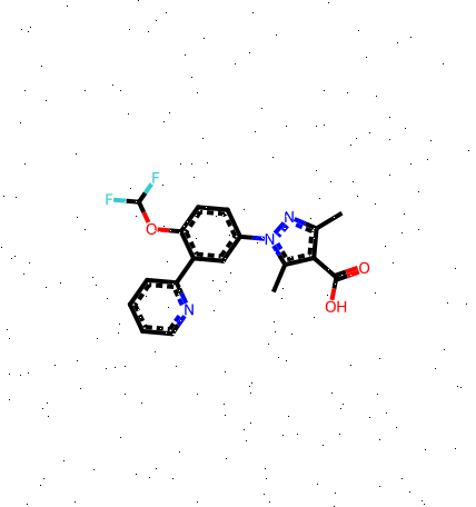 Cc1nn(-c2ccc(OC(F)F)c(-c3ccccn3)c2)c(C)c1C(=O)O